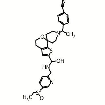 CC[S+]([O-])c1ccc(CNC(O)c2cc3c(s2)C2(CCN(C(C)c4ccc(C#N)cc4)CC2)OCC3)nc1